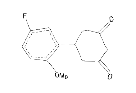 COc1ccc(F)cc1C1CC(=O)CC(=O)C1